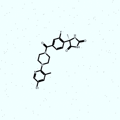 CCc1cnc(N2CCN(C(=O)c3ccc([C@@]4(C)NC(=O)NC4=O)c(F)c3)CC2)c(C)c1